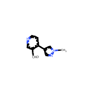 Cn1cc(-c2ccncc2C=O)cn1